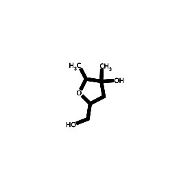 CC1OC(CO)CC1(C)O